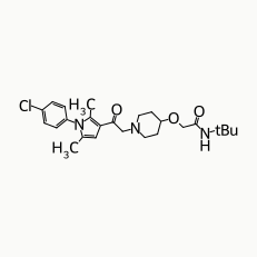 Cc1cc(C(=O)CN2CCC(OCC(=O)NC(C)(C)C)CC2)c(C)n1-c1ccc(Cl)cc1